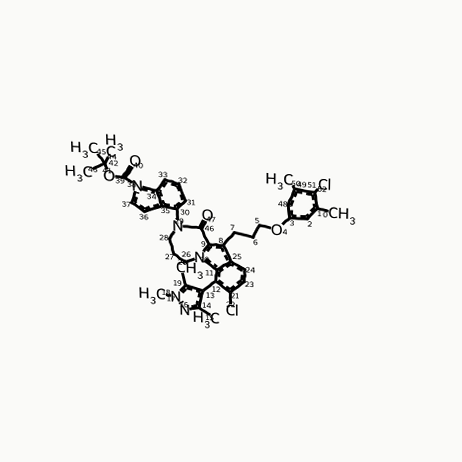 Cc1cc(OCCCc2c3n(c4c(-c5c(C)nn(C)c5C)c(Cl)ccc24)CCCN(c2cccc4c2ccn4C(=O)OC(C)(C)C)C3=O)cc(C)c1Cl